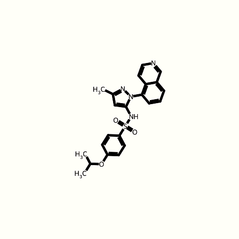 Cc1cc(NS(=O)(=O)c2ccc(OC(C)C)cc2)n(-c2cccc3cnccc23)n1